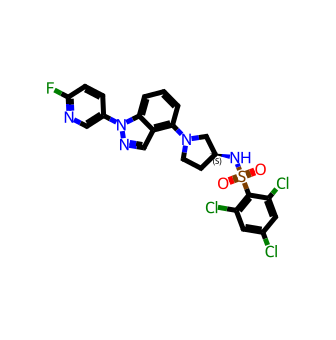 O=S(=O)(N[C@H]1CCN(c2cccc3c2cnn3-c2ccc(F)nc2)C1)c1c(Cl)cc(Cl)cc1Cl